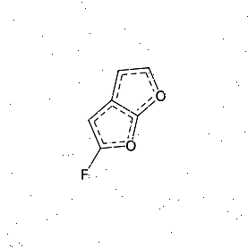 Fc1cc2ccoc2o1